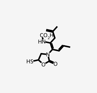 C=C(C)C/C(NC(=O)O)=C(\C=C\C)N1CC(S)OC1=O